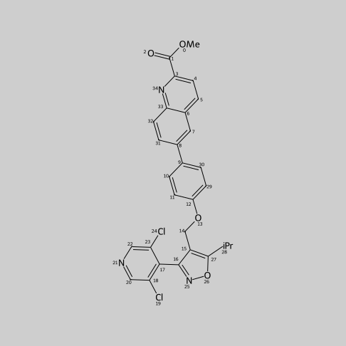 COC(=O)c1ccc2cc(-c3ccc(OCc4c(-c5c(Cl)cncc5Cl)noc4C(C)C)cc3)ccc2n1